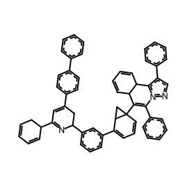 C1=CCC(C2=NC(c3cccc(C4=CC=CC5(C6=C(c7ccccc7)n7ncc(-c8ccccc8)c7C7C=CC=CC67)CC45)c3)CC(c3ccc(-c4ccccc4)cc3)=C2)C=C1